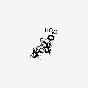 CC(C)(C)CN(CC(=O)c1c(Cl)cncc1Cl)C(=O)c1cnn([C@H]2CC[C@@H](C(=O)O)CC2)c1C(F)(F)F